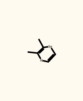 CC1=C(C)[Se]C=C[N]1